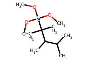 CO[Si](OC)(OC)C(C)(C)C(C)C(C)C